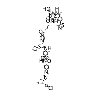 Cc1cc(S(=O)(=O)NC(=O)c2ccc(N3CCN(CC4=C(C56CC(Cl)(C5)C6)CC(C)(C)CC4)CC3)cc2)ccc1N[C@H](CCN1CCN(C(=O)CCCCCC(=O)N[C@H](C(=O)N2C[C@H](O)C[C@H]2C(=O)N[C@@H](C)c2ccc(-c3scnc3C)cc2)C(C)(C)C)CC1)CSc1ccccc1